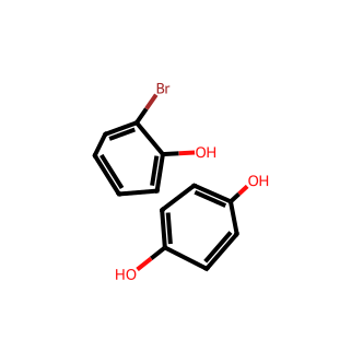 Oc1ccc(O)cc1.Oc1ccccc1Br